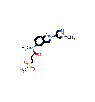 CN(C(=O)CCS(C)(=O)=O)c1ccc2nn(-c3cnn(C)c3)cc2c1